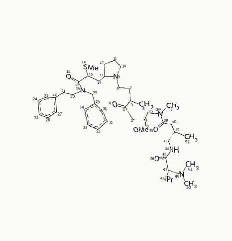 COC(CC(=O)C(C)CCN1CCCC1CC(SC)C(=O)N(CCc1ccccc1)Cc1ccccc1)CN(C)C(=O)CC(C)CNC(=O)C(C(C)C)N(C)C